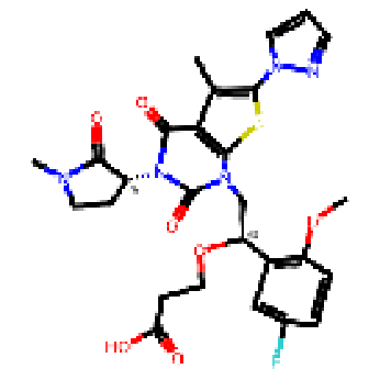 COc1ccc(F)cc1[C@H](Cn1c(=O)n([C@@H]2CCN(C)C2=O)c(=O)c2c(C)c(-n3cccn3)sc21)OCCC(=O)O